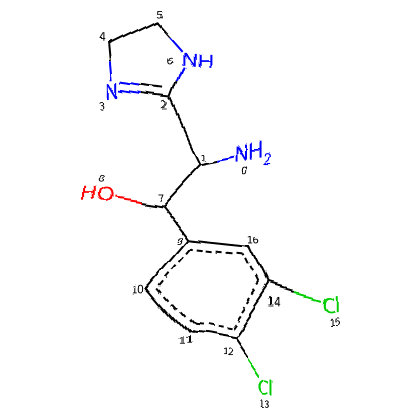 NC(C1=NCCN1)C(O)c1ccc(Cl)c(Cl)c1